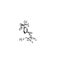 CCC(C)N(C)CCNc1ccc(C(=O)O)c(NC(C)=O)c1